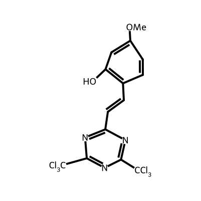 COc1ccc(C=Cc2nc(C(Cl)(Cl)Cl)nc(C(Cl)(Cl)Cl)n2)c(O)c1